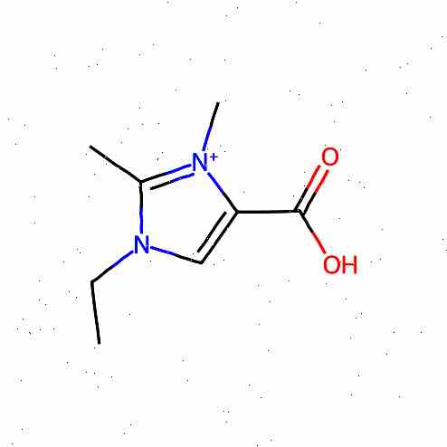 CCn1cc(C(=O)O)[n+](C)c1C